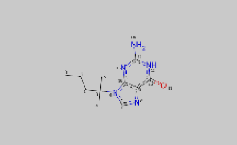 CCCC(C)(C)n1cnc2c(=O)[nH]c(N)nc21